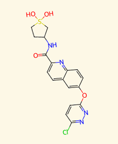 O=C(NC1CCS(O)(O)C1)c1ccc2cc(Oc3ccc(Cl)nn3)ccc2n1